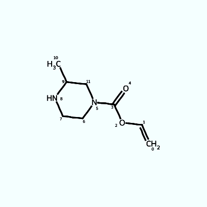 C=COC(=O)N1CCNC(C)C1